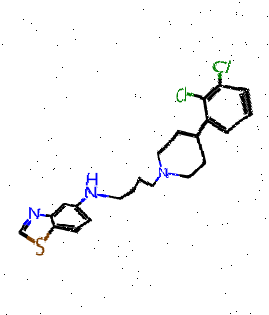 Clc1cccc(C2CCN(CCCNc3ccc4scnc4c3)CC2)c1Cl